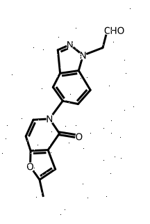 Cc1cc2c(=O)n(-c3ccc4c(cnn4CC=O)c3)ccc2o1